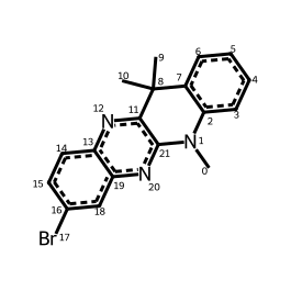 CN1c2ccccc2C(C)(C)c2nc3ccc(Br)cc3nc21